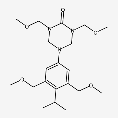 COCc1cc(N2CN(COC)C(=O)N(COC)C2)cc(COC)c1C(C)C